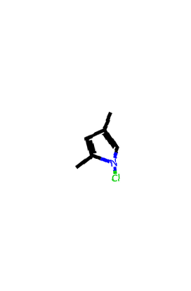 Cc1cc(C)n(Cl)c1